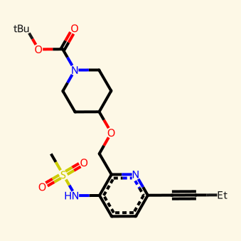 CCC#Cc1ccc(NS(C)(=O)=O)c(COC2CCN(C(=O)OC(C)(C)C)CC2)n1